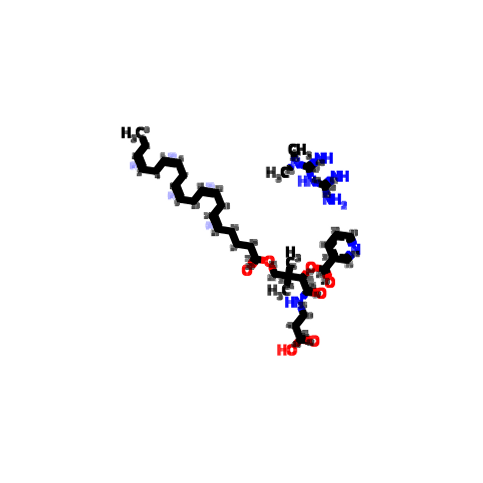 CC/C=C\C/C=C\C/C=C\C/C=C\C/C=C\CCCC(=O)OCC(C)(C)C(OC(=O)c1cccnc1)C(=O)NCCC(=O)O.CN(C)C(=N)NC(=N)N